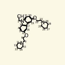 CCn1c2ccc(OCCN3CCCCC3)cc2c2cc(OCCN3CCCCC3)ccc21